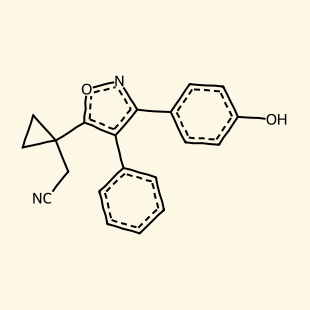 N#CCC1(c2onc(-c3ccc(O)cc3)c2-c2ccccc2)CC1